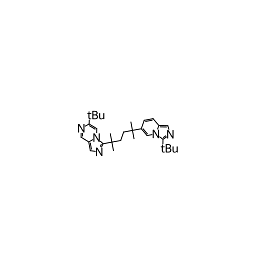 CC(C)(C)c1cn2c(C(C)(C)CCC(C)(C)c3ccc4cnc(C(C)(C)C)n4c3)ncc2cn1